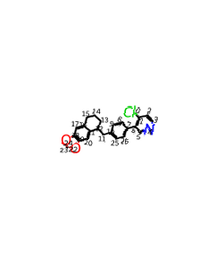 Clc1ccncc1-c1ccc(CC2CCCc3cc4c(cc32)OCO4)cc1